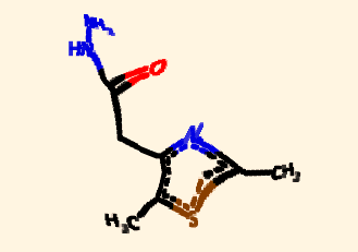 Cc1nc(CC(=O)NN)c(C)s1